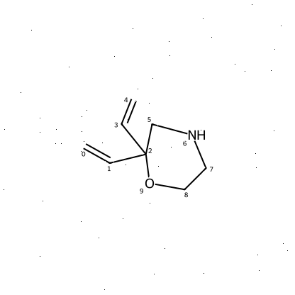 C=CC1(C=C)CNCCO1